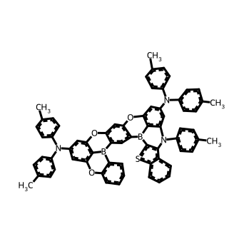 Cc1ccc(N(c2ccc(C)cc2)c2cc3c4c(c2)Oc2cc5c(cc2B4c2ccccc2O3)B2c3sc4ccccc4c3N(c3ccc(C)cc3)c3cc(N(c4ccc(C)cc4)c4ccc(C)cc4)cc(c32)O5)cc1